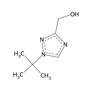 CC(C)(C)n1cnc(CO)n1